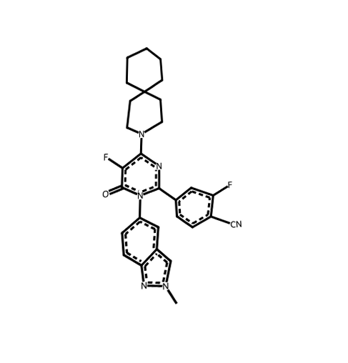 Cn1cc2cc(-n3c(-c4ccc(C#N)c(F)c4)nc(N4CCC5(CCCCC5)CC4)c(F)c3=O)ccc2n1